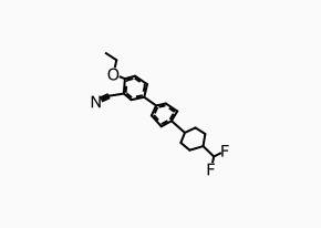 CCOc1ccc(-c2ccc(C3CCC(C(F)F)CC3)cc2)cc1C#N